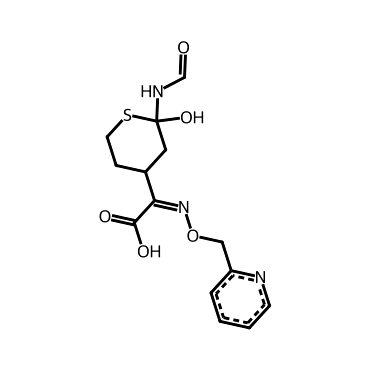 O=CNC1(O)CC(C(=NOCc2ccccn2)C(=O)O)CCS1